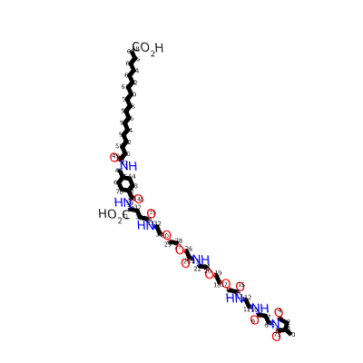 CC1CC(=O)N(CCC(=O)NCCNC(=O)COCCOCCNC(=O)COCCOCCNC(=O)CC[C@H](NC(=O)C2CCC(CNC(=O)CCCCCCCCCCCCCCCCCCC(=O)O)CC2)C(=O)O)C1=O